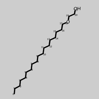 C[CH]CCCCCCCCCCCCCCCCOCCO